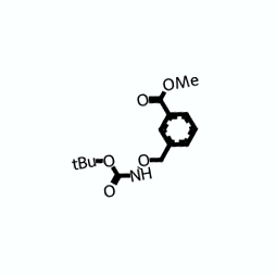 COC(=O)c1cccc(CONC(=O)OC(C)(C)C)c1